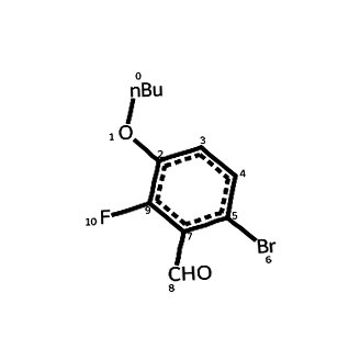 CCCCOc1ccc(Br)c(C=O)c1F